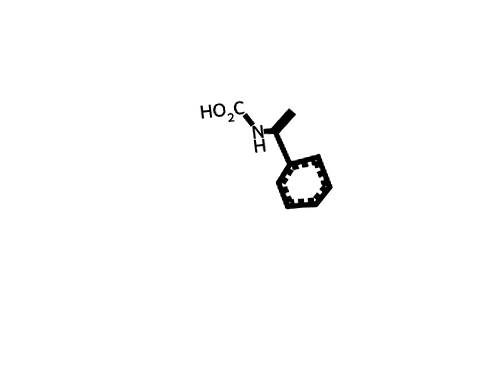 C=C(NC(=O)O)c1ccccc1